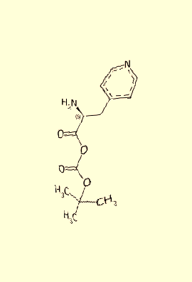 CC(C)(C)OC(=O)OC(=O)[C@@H](N)Cc1ccncc1